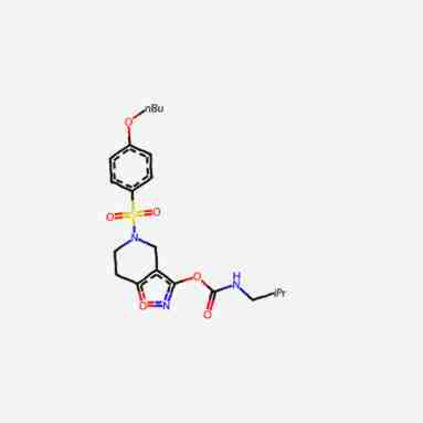 CCCCOc1ccc(S(=O)(=O)N2CCc3onc(OC(=O)NCC(C)C)c3C2)cc1